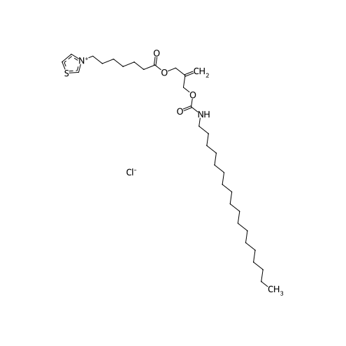 C=C(COC(=O)CCCCCC[n+]1ccsc1)COC(=O)NCCCCCCCCCCCCCCCCCC.[Cl-]